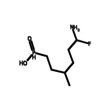 CC(CCC(N)F)CC[PH](=O)O